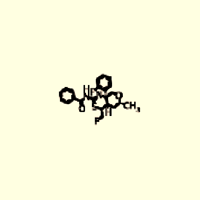 C[C@H]1C[C@H]2[C@@H](CF)SC(NC(=O)c3ccccc3)=N[C@@]2(c2ccccc2F)CO1